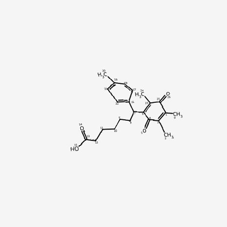 CC1=C(C)C(=O)C(C(CCCCCC(=O)O)c2ccc(C)cc2)=C(C)C1=O